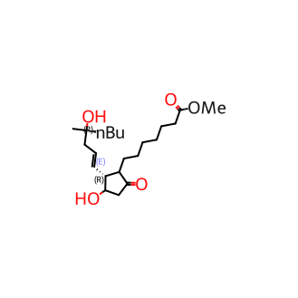 CCCC[C@@](C)(O)C/C=C/[C@H]1C(O)CC(=O)C1CCCCCCC(=O)OC